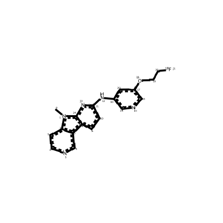 Cn1c2ccncc2c2ccc(Nc3cncc(OCC[18F])c3)nc21